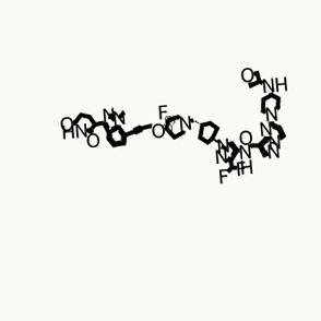 Cn1nc(C2CCC(=O)NC2=O)c2cccc(C#CCO[C@H]3CCN(C[C@H]4CC[C@H](n5cc(NC(=O)c6cnn7ccc(N8CCC(NC9COC9)CC8)nc67)c(C(F)F)n5)CC4)C[C@H]3F)c21